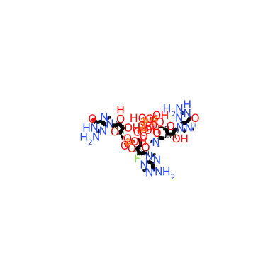 CN(C)C(=O)C[C@H]1[C@@H](O)[C@H](n2c[n+](C)c3c(=O)[nH]c(N)nc32)O[C@@H]1COP(=O)(O)OP(=O)(O)OP(=O)(O)OCC1O[C@@H](n2cnc3c(N)ncnc32)[C@H](F)[C@@H]1OP(=O)(O)OC[C@H]1O[C@@H](n2cnc3c(=O)[nH]c(N)nc32)[C@H](O)[C@@H]1O